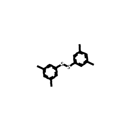 Cc1cc(C)cc(SSc2cc(C)cc(C)c2)c1